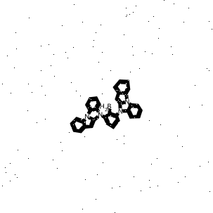 Bc1c(-n2c3ccccc3n3c4ccccc4cc23)cccc1-n1c2ccccc2n2c3ccccc3cc12